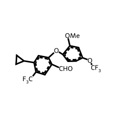 COc1cc(OC(F)(F)F)ccc1Oc1cc(C2CC2)c(C(F)(F)F)cc1C=O